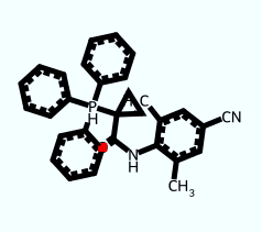 Cc1cc(C#N)cc(C)c1NC(=O)C1([PH](c2ccccc2)(c2ccccc2)c2ccccc2)CC1